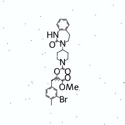 COC(=O)[C@@H](Cc1ccc(C)c(Br)c1)OC(=O)N1CCC(N2CCc3ccccc3NC2=O)CC1